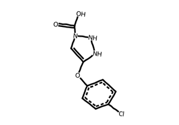 O=C(O)N1C=C(Oc2ccc(Cl)cc2)NN1